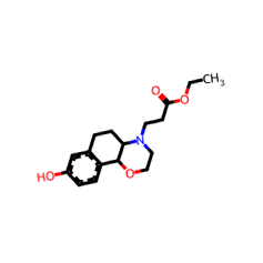 CCOC(=O)CCN1CCOC2c3ccc(O)cc3CCC21